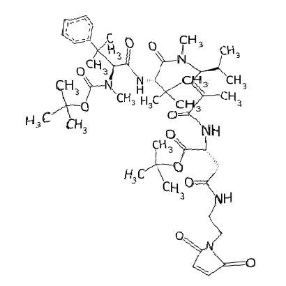 C/C(=C\[C@H](C(C)C)N(C)C(=O)[C@@H](NC(=O)[C@@H](N(C)C(=O)OC(C)(C)C)C(C)(C)c1ccccc1)C(C)(C)C)C(=O)N[C@H](CC(=O)NCCN1C(=O)C=CC1=O)C(=O)OC(C)(C)C